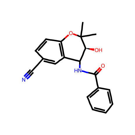 CC1(C)Oc2ccc(C#N)cc2C(NC(=O)c2ccccc2)[C@@H]1O